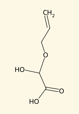 C=CCOC(O)C(=O)O